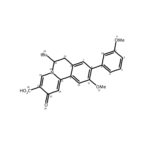 COc1cccc(-c2cc3c(cc2OC)-c2cc(=O)c(C(=O)O)cn2C(C(C)(C)C)C3)c1